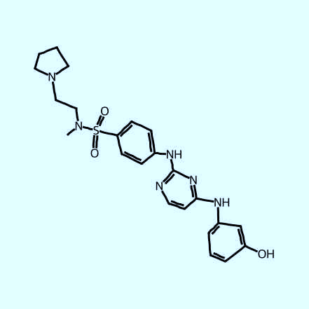 CN(CCN1CCCC1)S(=O)(=O)c1ccc(Nc2nccc(Nc3cccc(O)c3)n2)cc1